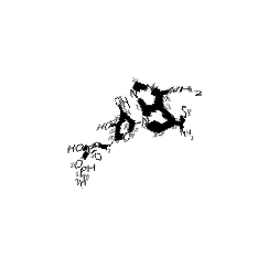 [2H]POP(=O)(O)OC[C@H]1O[C@@H](n2cc(C(N)=S)c3c(N)ncnc32)[C@H](O)[C@@H]1O